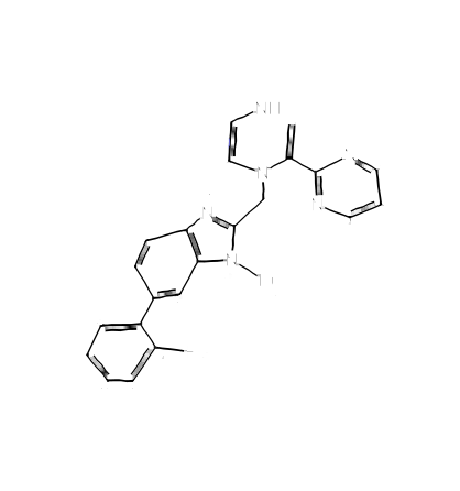 C=C(c1ncccn1)N(/C=C\N)Cc1nc2ccc(-c3ccccc3F)cc2n1CC